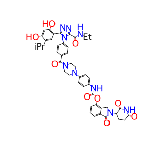 CCNC(=O)c1nnc(-c2cc(C(C)C)c(O)cc2O)n1-c1ccc(C(=O)N2CCN(c3ccc(NC(=O)Oc4cccc5c4CN(C4CCC(=O)NC4=O)C5=O)cc3)CC2)cc1